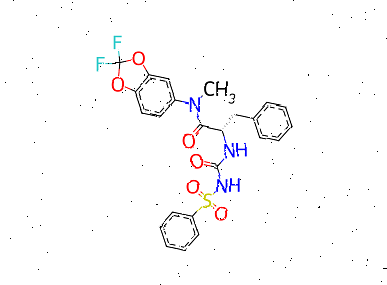 CN(C(=O)[C@H](Cc1ccccc1)NC(=O)NS(=O)(=O)c1ccccc1)c1ccc2c(c1)OC(F)(F)O2